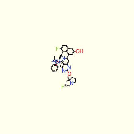 CC(C)[Si](C#Cc1c(F)ccc2cc(O)cc(-c3cc4nc(OC[C@@]56CCCN5C[C@H](F)C6)ncc4c(Nc4ccccc4)n3)c12)(C(C)C)C(C)C